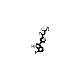 COC(=O)CC(=O)c1cc(-c2c[nH]c3c(F)cccc23)cs1